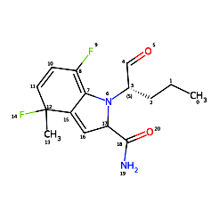 CCC[C@@H](C=O)N1C2=C(F)C=CC(C)(F)C2=CC1C(N)=O